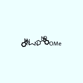 COc1ccc2c(C3CCN(CCCn4nnc5ccccc54)CC3)noc2c1